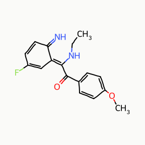 CCN/C(C(=O)c1ccc(OC)cc1)=C1/C=C(F)C=CC1=N